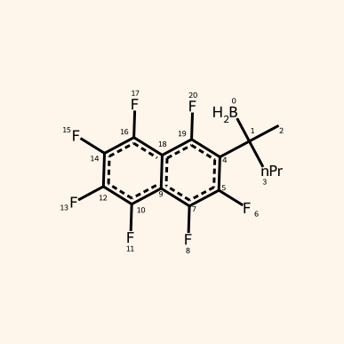 BC(C)(CCC)c1c(F)c(F)c2c(F)c(F)c(F)c(F)c2c1F